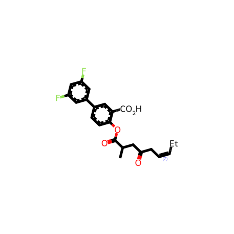 CC/C=C\CC(=O)CC(C)C(=O)Oc1ccc(-c2cc(F)cc(F)c2)cc1C(=O)O